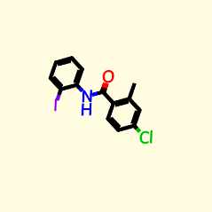 Cc1cc(Cl)ccc1C(=O)Nc1ccccc1I